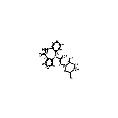 CC1CN(CC(=O)N2c3ccccc3NC(=O)c3cscc32)C(C)CN1